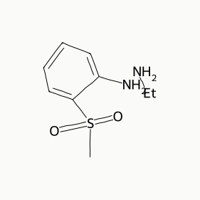 CCN.CS(=O)(=O)c1ccccc1N